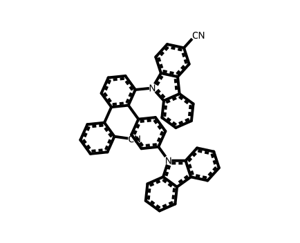 N#Cc1ccc2c(c1)c1ccccc1n2-c1cccc(-c2ccccc2C#N)c1-c1ccc(-n2c3ccccc3c3ccccc32)cc1